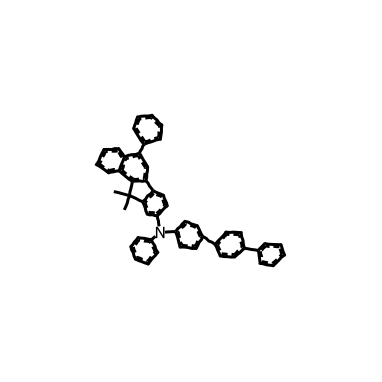 CC1(C)c2cc(N(c3ccccc3)c3ccc(-c4ccc(-c5ccccc5)cc4)cc3)ccc2-c2cc(-c3ccccc3)c3ccccc3c21